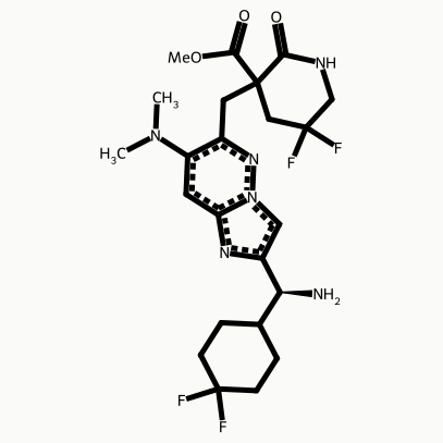 COC(=O)C1(Cc2nn3cc([C@@H](N)C4CCC(F)(F)CC4)nc3cc2N(C)C)CC(F)(F)CNC1=O